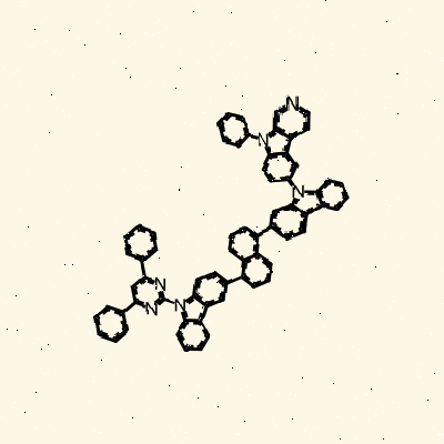 c1ccc(-c2cc(-c3ccccc3)nc(-n3c4ccccc4c4cc(-c5cccc6c(-c7ccc8c9ccccc9n(-c9ccc%10c(c9)c9ccncc9n%10-c9ccccc9)c8c7)cccc56)ccc43)n2)cc1